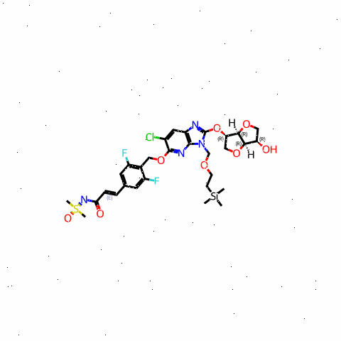 C[Si](C)(C)CCOCn1c(O[C@@H]2CO[C@H]3[C@@H]2OC[C@H]3O)nc2cc(Cl)c(OCc3c(F)cc(/C=C/C(=O)N=S(C)(C)=O)cc3F)nc21